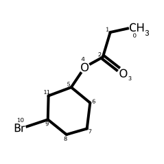 CCC(=O)OC1CCCC(Br)C1